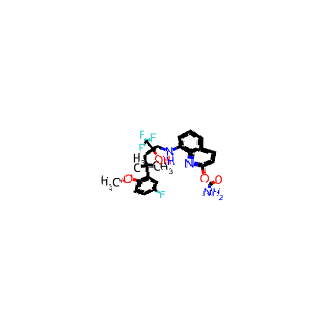 COc1ccc(F)cc1C(C)(C)CC(O)(CNc1cccc2ccc(OC(N)=O)nc12)C(F)(F)F